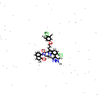 Cc1cc(OCCCc2c3n(c4c(-c5c(C)nn(C)c5C)c(Cl)ccc24)[C@H](C)CN(c2cccc4c2C(=O)CC4)C3=O)cc(C)c1Cl